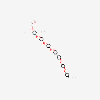 CCOC(C)CCOc1cc(OC)c(C(=O)Oc2ccc(C(=O)Oc3ccc(C(=O)Oc4ccc(-c5ccc(OC(=O)c6ccc(OC(=O)c7ccc(OC)cc7)cc6)cc5)cc4)cc3)cc2)cc1OC